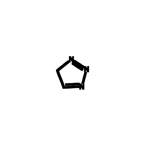 C1=NN=NC1